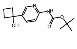 CC(C)(C)OC(=O)Nc1ccc(C2(O)CCC2)cn1